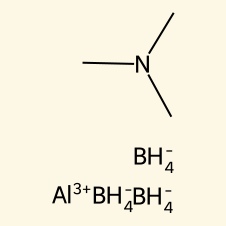 CN(C)C.[Al+3].[BH4-].[BH4-].[BH4-]